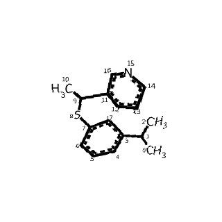 CC(C)c1cccc(SC(C)c2cccnc2)c1